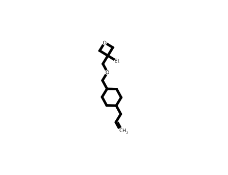 C=CCC1CCC(COCC2(CC)COC2)CC1